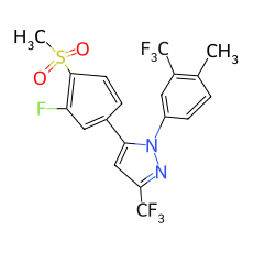 Cc1ccc(-n2nc(C(F)(F)F)cc2-c2ccc(S(C)(=O)=O)c(F)c2)cc1C(F)(F)F